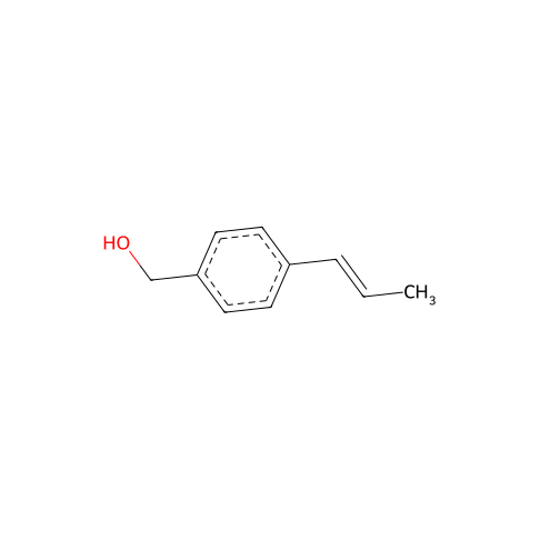 C/C=C/c1ccc(CO)cc1